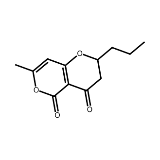 CCCC1CC(=O)c2c(cc(C)oc2=O)O1